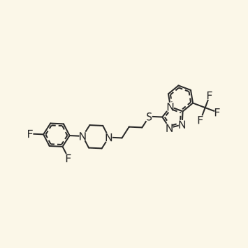 Fc1ccc(N2CCN(CCCSc3nnc4c(C(F)(F)F)cccn34)CC2)c(F)c1